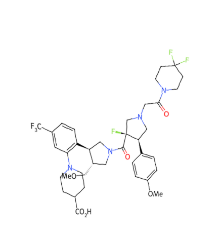 COC[C@H]1CN(C(=O)[C@]2(F)CN(CC(=O)N3CCC(F)(F)CC3)C[C@H]2c2ccc(OC)cc2)C[C@@H]1c1ccc(C(F)(F)F)cc1N1CCC(C(=O)O)CC1